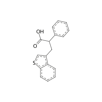 O=C(O)C(Cc1csc2ccccc12)c1ccccc1